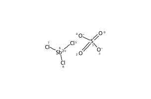 O=S(=O)([O-])[O-].[Cl][Sb+2]([Cl])[Cl]